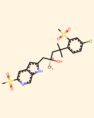 CC(C)(C[C@@](O)(Cc1cc2cc(S(C)(=O)=O)ncc2[nH]1)C(F)(F)F)c1ccc(Cl)cc1S(C)(=O)=O